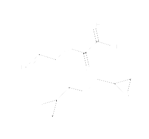 C(OCC1CO1)C1CO1.C=CCOC(=O)C(=C)C